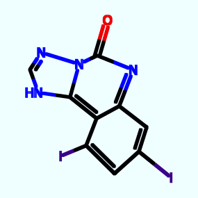 O=c1nc2cc(I)cc(I)c2c2[nH]cnn12